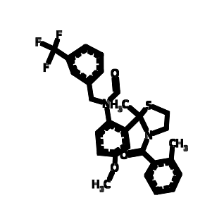 COc1ccc(N(C=O)Cc2cccc(C(F)(F)F)c2)c(C2(C)SCCN2C(=O)c2ccccc2C)c1